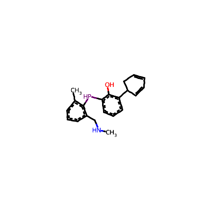 CNCc1cccc(C)c1Pc1cccc(C2C=CC=CC2)c1O